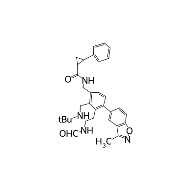 Cc1noc2ccc(-c3ccc(CNC(=O)C4CC4c4ccccc4)c(CNC(C)(C)C)c3CCNC=O)cc12